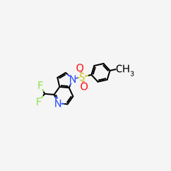 Cc1ccc(S(=O)(=O)n2ccc3c(C(F)F)nccc32)cc1